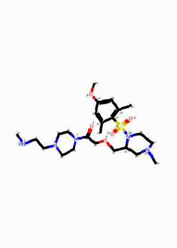 CNCCN1CCN(C(=O)COCC2CN(C)CCN2S(=O)(=O)c2c(C)cc(OC)cc2C)CC1